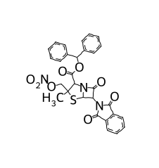 CC1(CO[N+](=O)[O-])SC2C(N3C(=O)c4ccccc4C3=O)C(=O)N2C1C(=O)OC(c1ccccc1)c1ccccc1